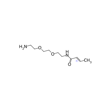 C/C=C/C(=O)NCCOCCOCCN